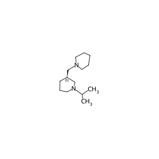 CC(C)N1CCC[C@@H](CN2CCCCC2)C1